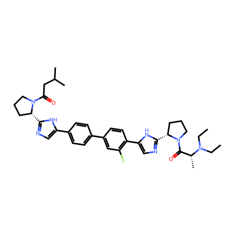 CCN(CC)[C@H](C)C(=O)N1CCC[C@H]1c1ncc(-c2ccc(-c3ccc(-c4cnc([C@@H]5CCCN5C(=O)CC(C)C)[nH]4)cc3)cc2F)[nH]1